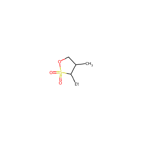 CCC1C(C)COS1(=O)=O